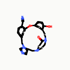 N#Cc1ccc2cc1Oc1ccc(O)c(c1)CN1CCN(CC1=O)Cc1cncn1C2